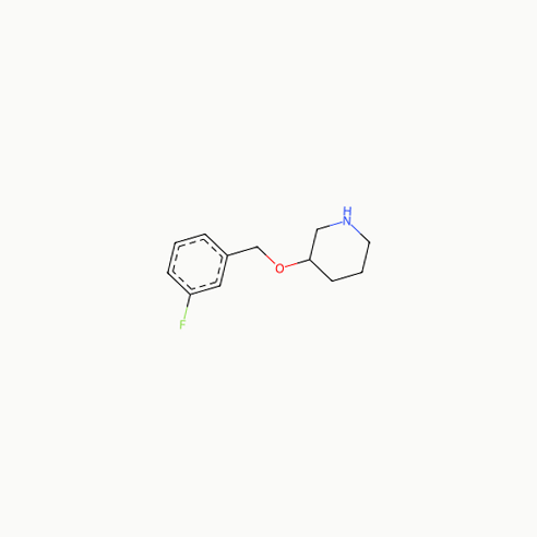 Fc1cccc(COC2CCCNC2)c1